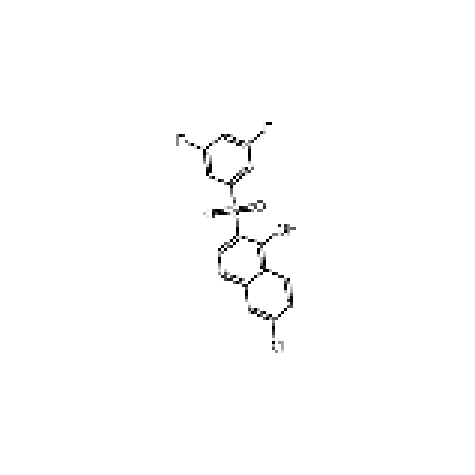 O=S(=O)(c1cc(F)cc(F)c1)c1cnc2cc(Cl)ccc2c1O